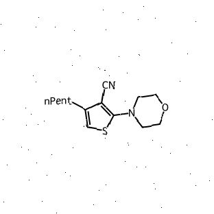 CCCCCc1[c]sc(N2CCOCC2)c1C#N